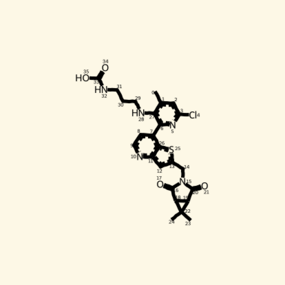 Cc1cc(Cl)nc(-c2ccnc3cc(CN4C(=O)C5C(C4=O)C5(C)C)sc23)c1NCCCNC(=O)O